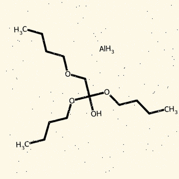 CCCCOCC(O)(OCCCC)OCCCC.[AlH3]